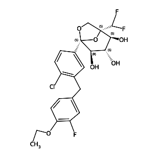 CCOc1ccc(Cc2cc([C@]34OC[C@](C(F)F)(O3)[C@@H](O)[C@H](O)[C@H]4O)ccc2Cl)cc1F